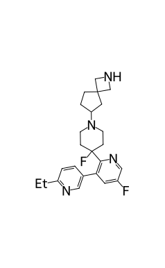 CCc1ccc(-c2cc(F)cnc2C2(F)CCN(C3CCC4(CNC4)C3)CC2)cn1